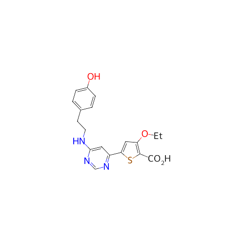 CCOc1cc(-c2cc(NCCc3ccc(O)cc3)ncn2)sc1C(=O)O